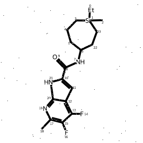 CC[Si]1(C)CCCC(NC(=O)c2cc3c(F)c(F)c(C)nc3[nH]2)CC1